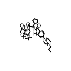 CCCN1CCN(c2ccc(C(=O)N[C@H](C(=O)N3C[C@@H](C(C)(C)C)[C@H]4OCC(=O)[C@H]43)C3CCCC3)cc2)CC1